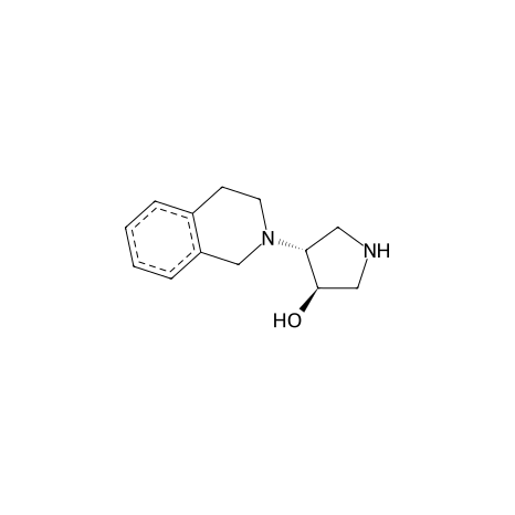 O[C@@H]1CNC[C@H]1N1CCc2ccccc2C1